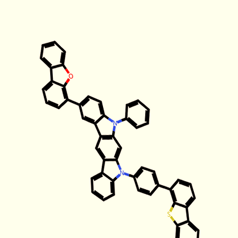 c1ccc(-n2c3ccc(-c4cccc5c4oc4ccccc45)cc3c3cc4c5ccccc5n(-c5ccc(-c6cccc7c6sc6ccccc67)cc5)c4cc32)cc1